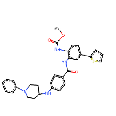 CC(C)(C)OC(=O)Nc1ccc(-c2cccs2)cc1NC(=O)c1ccc(NC2CCN(c3ccccc3)CC2)cc1